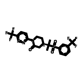 CC(C)([C@@H]1CCN(c2ccc(C(F)(F)F)nn2)C(=O)C1)S(=O)(=O)c1cccc(C(F)(F)F)c1